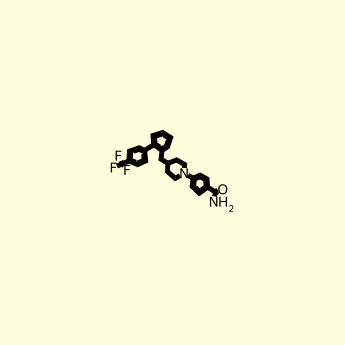 NC(=O)c1ccc(N2CCC(Cc3ccccc3-c3ccc(C(F)(F)F)cc3)CC2)cc1